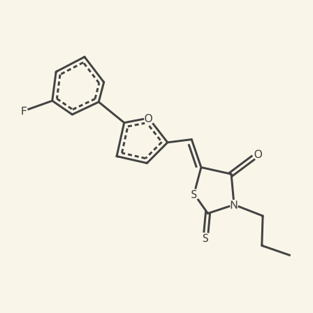 CCCN1C(=O)/C(=C/c2ccc(-c3cccc(F)c3)o2)SC1=S